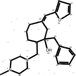 CN1CCN(CC2CCC/C(=C/c3ccco3)CC2(O)Cc2ccccc2)CC1